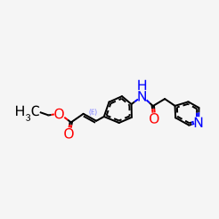 CCOC(=O)/C=C/c1ccc(NC(=O)Cc2ccncc2)cc1